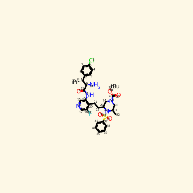 CC(C)[C@H](c1ccc(Cl)cc1)[C@@H](N)C(=O)Nc1cncc(F)c1CCC1CN(C(=O)OC(C)(C)C)CC(C)N1S(=O)(=O)c1ccccc1